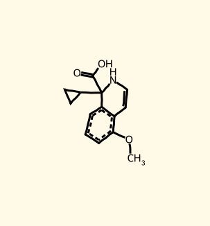 COc1cccc2c1C=CNC2(C(=O)O)C1CC1